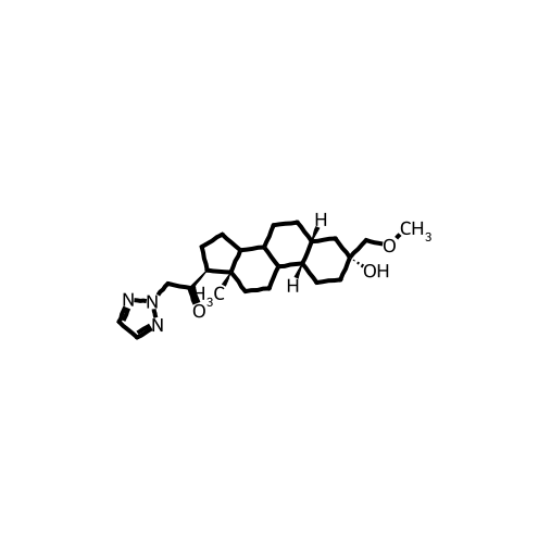 COC[C@@]1(O)CC[C@@H]2C3CC[C@@]4(C)C(CC[C@@H]4C(=O)Cn4nccn4)C3CC[C@@H]2C1